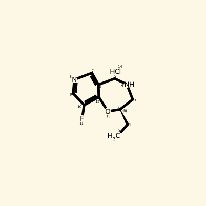 CC[C@@H]1CNCc2cncc(F)c2O1.Cl